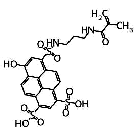 C=C(C)C(=O)NCCCNS(=O)(=O)c1cc(O)c2ccc3c(S(=O)(=O)O)cc(S(=O)(=O)O)c4ccc1c2c34